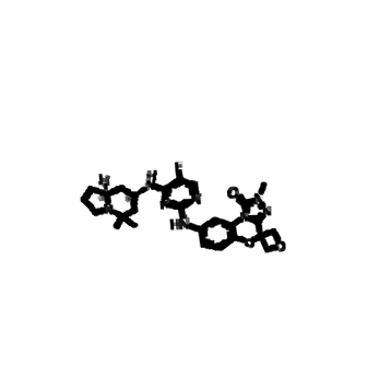 Cn1nc2n(c1=O)-c1cc(Nc3ncc(F)c(N[C@@H]4C[C@@H]5CCCN5C(C)(C)C4)n3)ccc1OC21COC1